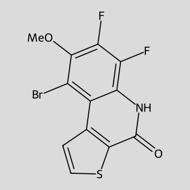 COc1c(F)c(F)c2[nH]c(=O)c3sccc3c2c1Br